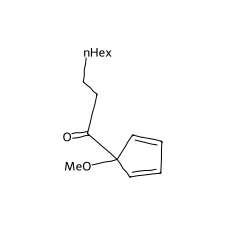 CCCCCCCCC(=O)C1(OC)C=CC=C1